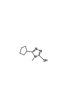 Cn1c(S)nnc1C1CCCC1